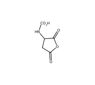 O=C(O)NC1CC(=O)OC1=O